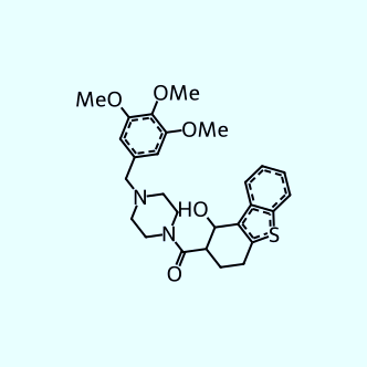 COc1cc(CN2CCN(C(=O)C3CCc4sc5ccccc5c4C3O)CC2)cc(OC)c1OC